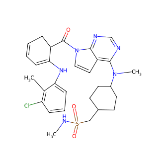 CNS(=O)(=O)CC1CCC(N(C)c2ncnc3c2ccn3C(=O)C2CC=CC=C2Nc2cccc(Cl)c2C)CC1